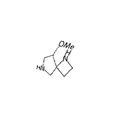 COC1CNCC12CCN2